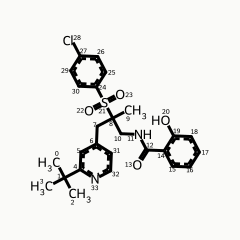 CC(C)(C)c1cc(CC(C)(CNC(=O)c2ccccc2O)S(=O)(=O)c2ccc(Cl)cc2)ccn1